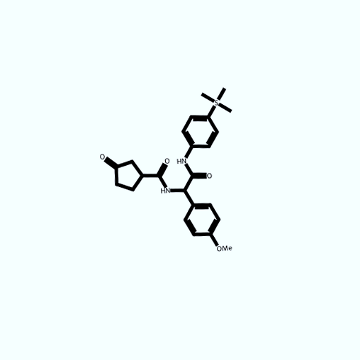 COc1ccc(C(NC(=O)C2CCC(=O)C2)C(=O)Nc2ccc(S(C)(C)C)cc2)cc1